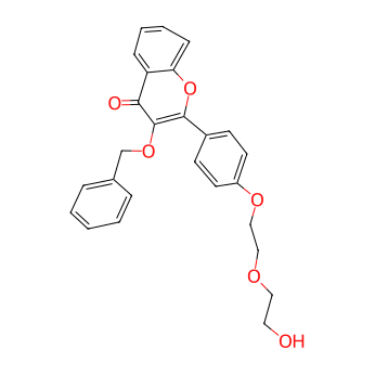 O=c1c(OCc2ccccc2)c(-c2ccc(OCCOCCO)cc2)oc2ccccc12